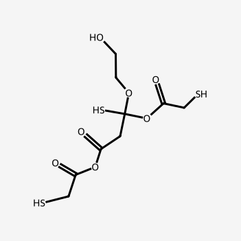 O=C(CS)OC(=O)CC(S)(OCCO)OC(=O)CS